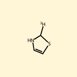 [2H]C1NC=CS1